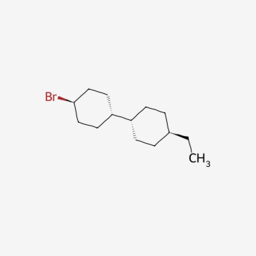 CC[C@H]1CC[C@H]([C@H]2CC[C@H](Br)CC2)CC1